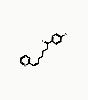 O=C(CCCC/C=C\c1ccccn1)c1ccc(Br)cc1